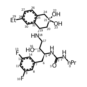 CCCNC(=O)N[C@@H](Cc1cc(F)cc(F)c1)[C@H](O)CN[C@H]1CS(O)(O)Cc2ccc(CC)cc21